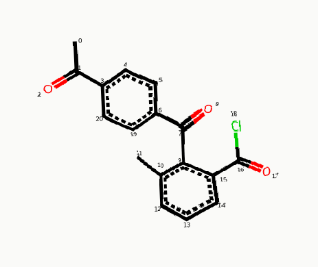 CC(=O)c1ccc(C(=O)c2c(C)cccc2C(=O)Cl)cc1